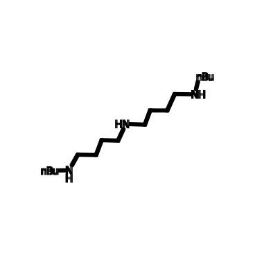 CCCCNCCCCNCCCCNCCCC